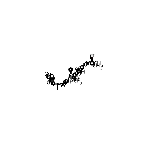 CCC12CC(C3=C(CN4CCN(c5ccc(C(=O)NS(=O)(=O)c6ccc(N[C@H](CCN7CCN(C(=O)CCCNc8ccc9c(c8)C(=O)N(C8CCC(=O)NC8=O)C9=O)CC7)CSc7ccccc7)c(S(=O)(=O)C(F)(F)F)c6)cc5)CC4)CCC(C)(C)C3)(C1)C2